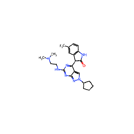 CN(C)CCNc1nc(C2C(=O)Nc3ccc(C(F)(F)F)cc32)c2cn(C3CCCC3)nc2n1